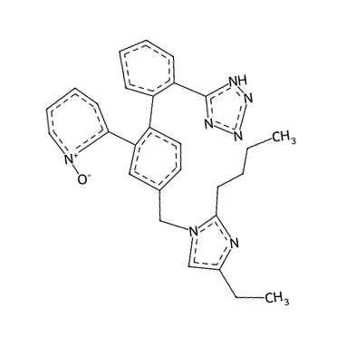 CCCCc1nc(CC)cn1Cc1ccc(-c2ccccc2-c2nnn[nH]2)c(-c2cccc[n+]2[O-])c1